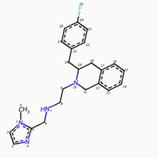 Cn1ccnc1CNCCN1Cc2ccccc2CC1Cc1ccc(F)cc1